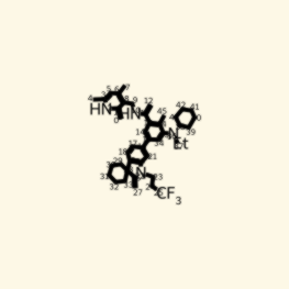 C=C1NC(C)=CC(C)=C1CNC(=C)c1cc(-c2ccc3c(c2)N(CCC(F)(F)F)C(=C)C32CCCCC2)cc(N(CC)C2CCCCC2)c1C